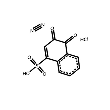 Cl.N#N.O=C1C=C(S(=O)(=O)O)c2ccccc2C1=O